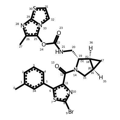 Cc1cccc(-c2sc(Br)nc2C(=O)N2C[C@@H]3C[C@@H]3[C@H]2CNC(=O)Oc2c(C)nc3sccn23)c1